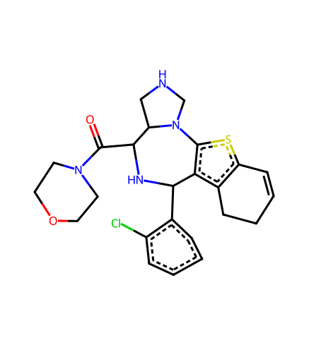 O=C(C1NC(c2ccccc2Cl)c2c(sc3c2CCC=C3)N2CNCC12)N1CCOCC1